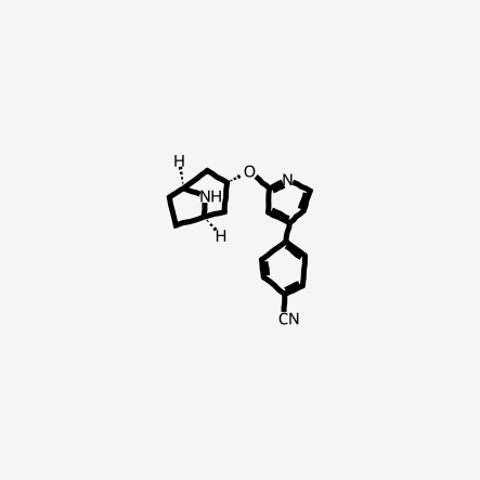 N#Cc1ccc(-c2ccnc(O[C@@H]3C[C@H]4CC[C@@H](C3)N4)c2)cc1